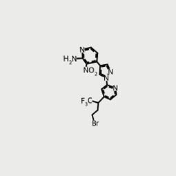 Nc1nccc(-c2cnn(-c3cc(C(CCBr)C(F)(F)F)ccn3)c2)c1[N+](=O)[O-]